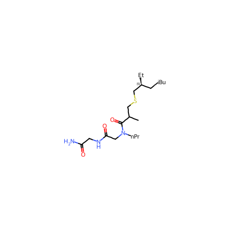 CCCN(CC(=O)NCC(N)=O)C(=O)C(C)CSC[C@@H](CC)CC(C)CC